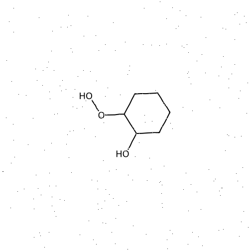 OOC1CCCCC1O